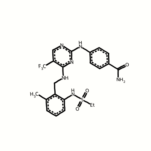 CCS(=O)(=O)Nc1cccc(C)c1CNc1nc(Nc2ccc(C(N)=O)cc2)ncc1C(F)(F)F